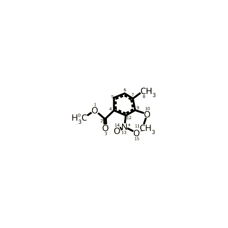 COC(=O)c1ccc(C)c(OC)c1[N+](=O)[O-]